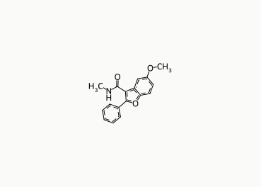 CNC(=O)c1c(-c2ccccc2)oc2ccc(OC)cc12